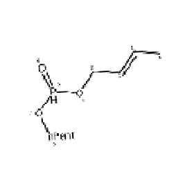 CC=CCO[PH](=O)OCCCCC